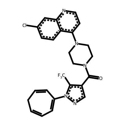 O=C(c1cnn(C2=CC=CCC=C2)c1C(F)(F)F)N1CCN(c2ccnc3cc(Cl)ccc23)CC1